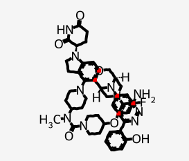 CN(C(=O)N1CCC(Oc2cc(F)cc(N3[C@H]4COC[C@H]3CN(c3cc(-c5ccccc5O)nnc3N)C4)c2)CC1)C1CCN(c2cccc3c2CCN3[C@@H]2CCC(=O)NC2=O)CC1